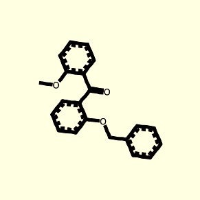 COc1ccccc1C(=O)c1ccccc1OCc1ccccc1